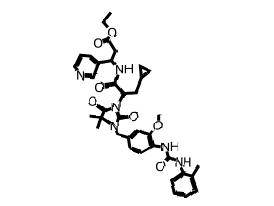 CCOC(=O)CC(NC(=O)C(CC1CC1)N1C(=O)N(Cc2ccc(NC(=O)Nc3ccccc3C)c(OC)c2)C(C)(C)C1=O)c1cccnc1